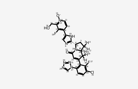 [2H]C1([2H])C[C@@H](c2ncc(-c3cc[n+]([O-])c(CO)c3F)[nH]2)N2C(=O)C=C(c3c(-n4cnnn4)ccc(Cl)c3F)C([2H])([2H])[C@]21[2H]